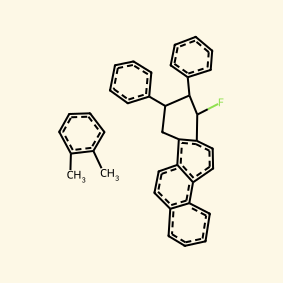 Cc1ccccc1C.FC1c2ccc3c(ccc4ccccc43)c2CC(c2ccccc2)C1c1ccccc1